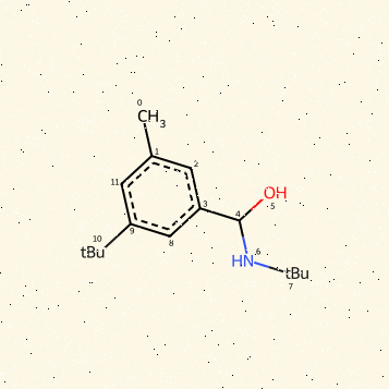 Cc1cc(C(O)NC(C)(C)C)cc(C(C)(C)C)c1